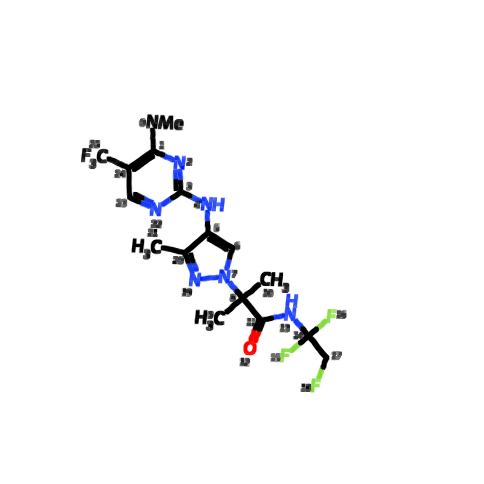 CNc1nc(Nc2cn(C(C)(C)C(=O)NC(F)(F)CF)nc2C)ncc1C(F)(F)F